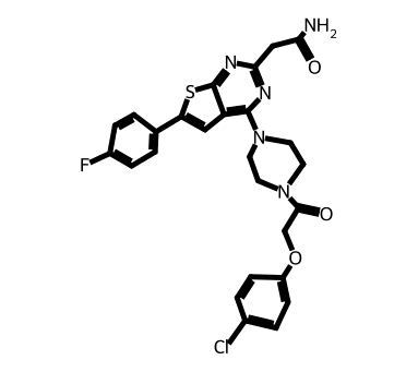 NC(=O)Cc1nc(N2CCN(C(=O)COc3ccc(Cl)cc3)CC2)c2cc(-c3ccc(F)cc3)sc2n1